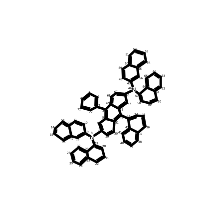 c1ccc(-c2c3cc(N(c4ccc5ccccc5c4)c4cccc5ccccc45)ccc3c(-c3cccc4ccccc34)c3cc(N(c4ccc5ccccc5c4)c4cccc5ccccc45)ccc23)cc1